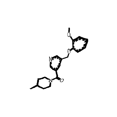 COc1ccccc1OCc1cncc(C(=O)N2CCC(C)CC2)c1